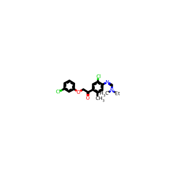 CCN(C)/C=N\c1cc(C)c(C(=O)COc2cccc(Cl)c2)cc1Cl